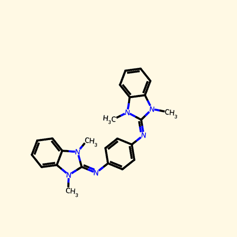 Cn1c(=Nc2ccc(N=c3n(C)c4ccccc4n3C)cc2)n(C)c2ccccc21